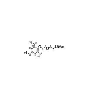 COCCOCCOc1c(CI)cc(CI)cc1CI